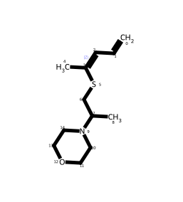 C=C/C=C(/C)SCC(C)N1CCOCC1